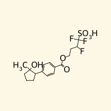 CC1(O)CCCC1c1ccc(C(=O)OCCC(F)C(F)(F)S(=O)(=O)O)cc1